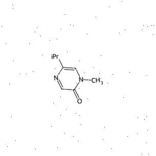 CC(C)c1cn(C)c(=O)cn1